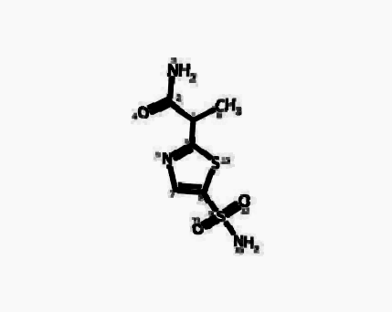 CC(C(N)=O)c1ncc(S(N)(=O)=O)s1